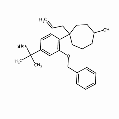 C=CCC1(c2ccc(C(C)(C)CCCCCC)cc2OCc2ccccc2)CCCC(O)CC1